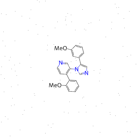 COc1cccc(-c2cncn2-c2cnccc2-c2ccccc2OC)c1